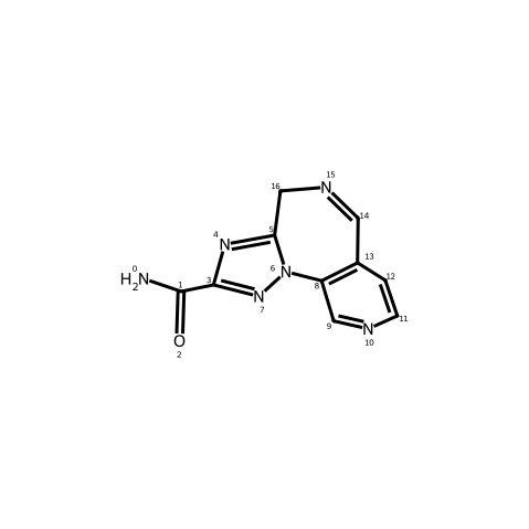 NC(=O)c1nc2n(n1)-c1cnccc1C=NC2